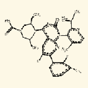 Cc1cccc(-c2nc3c(cc2Cl)c(N2[C@H](C)CN(C(=O)O)C[C@@H]2C)nc(=O)n3-c2c(C)ccnc2C(C)C)c1F